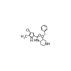 Cc1[nH]c(C(=O)N[C@@H]2CCNC[C@@H]2OCc2ccccc2)cc1Cl